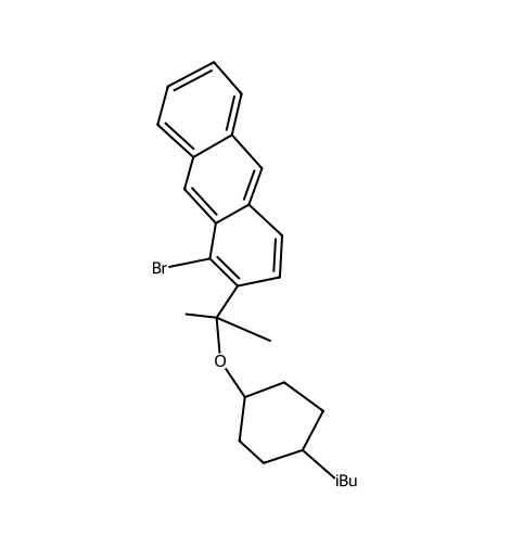 CCC(C)C1CCC(OC(C)(C)c2ccc3cc4ccccc4cc3c2Br)CC1